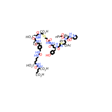 CCCC(=O)OCN(C(=O)[C@@H](NC(=O)[C@H]1CCCCN1C)C(C)CC)[C@H](C[C@@H](OC(C)=O)c1nc(C(=O)N[C@@H](Cc2ccc(O)cc2)C[C@H](C)C(=O)NNC(=O)OCCSSC[C@H](NC(=O)[C@H](CC(=O)O)NC(=O)[C@H](CC(=O)O)NC(=O)Cc2ccc(CNC(=O)NCCCC[C@@H](NC(=O)N[C@@H](CCCC(=O)O)C(=O)O)C(=O)O)cc2)C(=O)O)cs1)C(C)C